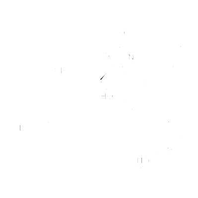 O=C1S[C@H](CCCC(O)c2ccc(F)cc2)[C@@H](c2ccc(-c3cccc(O)c3)cc2O)N1c1ccccc1